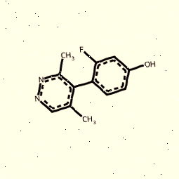 Cc1cnnc(C)c1-c1ccc(O)cc1F